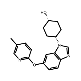 Cc1ccc(Oc2ccc3ncn([C@H]4CC[C@@H](O)CC4)c3c2)nc1